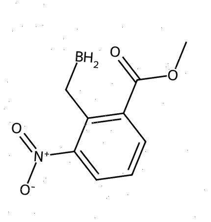 BCc1c(C(=O)OC)cccc1[N+](=O)[O-]